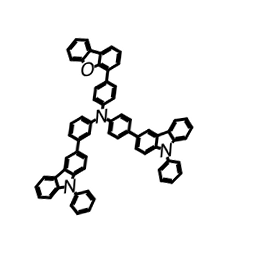 c1ccc(-n2c3ccccc3c3cc(-c4ccc(N(c5ccc(-c6cccc7c6oc6ccccc67)cc5)c5cccc(-c6ccc7c(c6)c6ccccc6n7-c6ccccc6)c5)cc4)ccc32)cc1